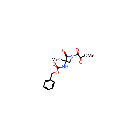 COC(=O)C(=O)N1CC(NC(=O)OCc2ccccc2)(OC)C1=O